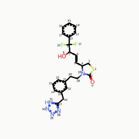 O=C1SCC(C=CC(O)C(F)(F)c2ccccc2)N1CCc1cccc(Cc2nnn[nH]2)c1